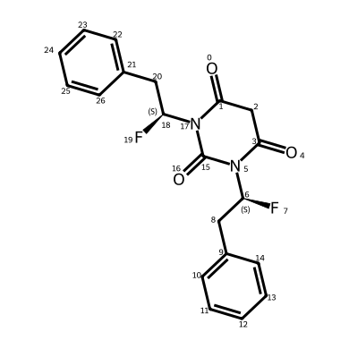 O=C1CC(=O)N([C@@H](F)Cc2ccccc2)C(=O)N1[C@@H](F)Cc1ccccc1